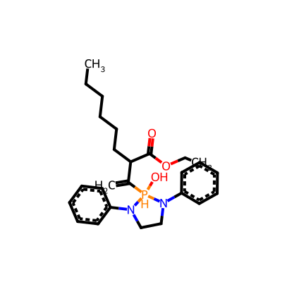 C=C(C(CCCCCC)C(=O)OCC)[PH]1(O)N(c2ccccc2)CCN1c1ccccc1